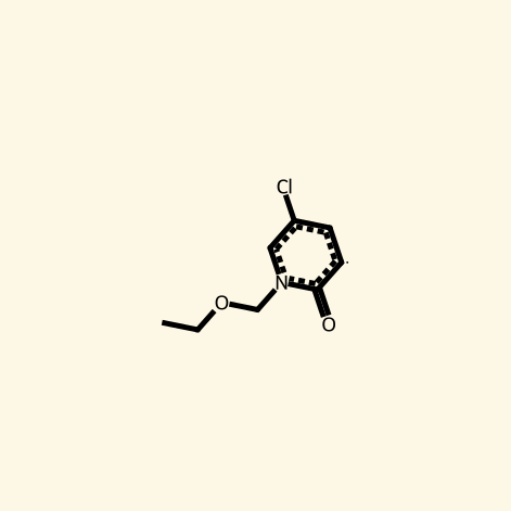 CCOCn1cc(Cl)c[c]c1=O